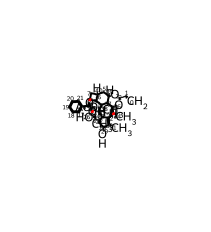 C=C[C@@H]1O[C@H]2C[C@H]3CC[C@@]3(OC(C)=O)[C@H]3[C@H](OC(=O)c4ccccc4)[C@]4(C(C)(C)O)CC(O)C(C)=C4[C@H](C)[C@H](O1)[C@]23C